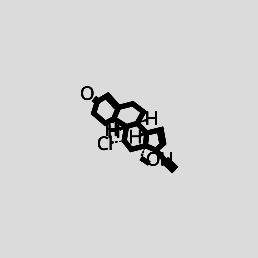 C#C[C@]1(O)C=C[C@H]2[C@@H]3CCC4=CC(=O)CC[C@@H]4[C@H]3[C@@H](Cl)C[C@@]21CC